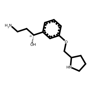 NCC[C@@H](O)c1cccc(OCC2CCCN2)c1